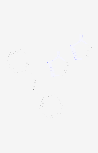 C(=Cc1ccccc1)c1ccccc1.c1c[nH]nn1.c1c[nH]nn1